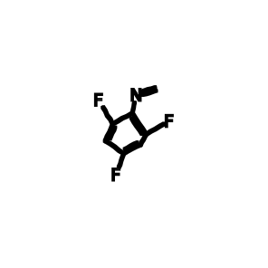 C=Nc1c(F)cc(F)cc1F